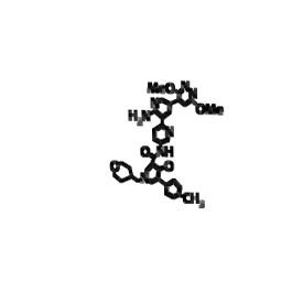 COc1cc(-c2cnc(N)c(-c3ccc(NC(=O)c4cn(CC5CCOCC5)cc(-c5ccc(C)cc5)c4=O)cn3)c2)c(OC)nn1